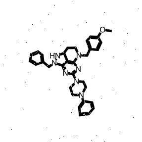 COc1ccc(CN2CCC3NN(Cc4ccccc4)c4nc(N5CCN(c6ccccc6)CC5)nc2c43)cc1